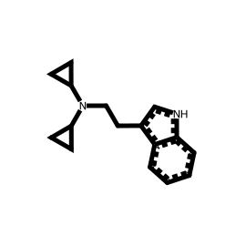 c1ccc2c(CCN(C3CC3)C3CC3)c[nH]c2c1